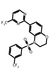 O=S(=O)(c1cccc(C(F)(F)F)c1)N1CCOc2ccc(-c3nccc(C(F)(F)F)n3)cc21